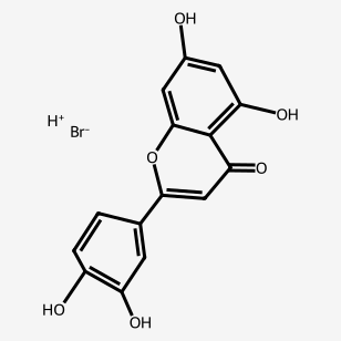 O=c1cc(-c2ccc(O)c(O)c2)oc2cc(O)cc(O)c12.[Br-].[H+]